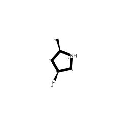 C[C@@H]1C[C@H](F)CN1